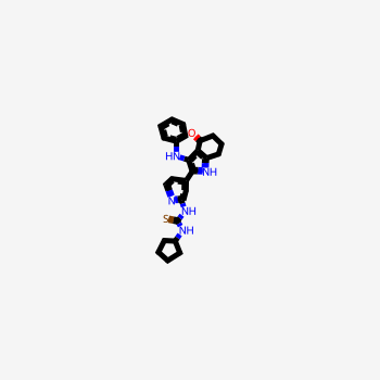 O=C1CCCc2[nH]c(-c3ccnc(NC(=S)NC4CCCC4)c3)c(Nc3ccccc3)c21